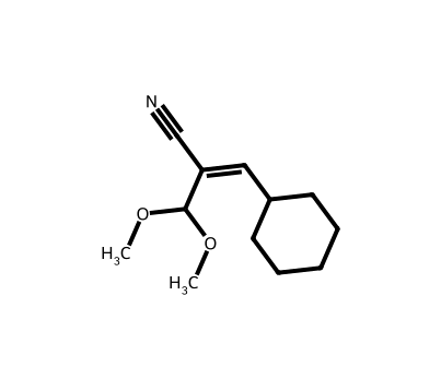 COC(OC)/C(C#N)=C\C1CCCCC1